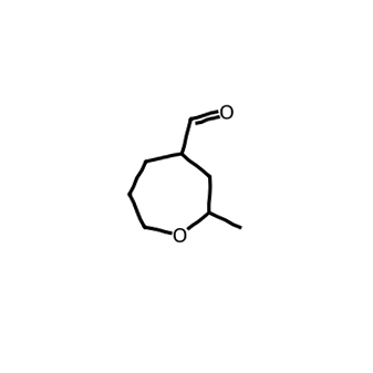 CC1CC(C=O)CCCO1